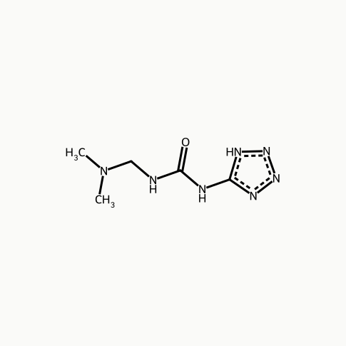 CN(C)CNC(=O)Nc1nnn[nH]1